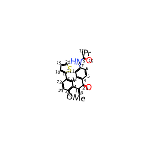 C=C(C(=O)c1ccc(NC(=O)C(C)C)cc1)c1cc(-c2cccs2)ccc1OC